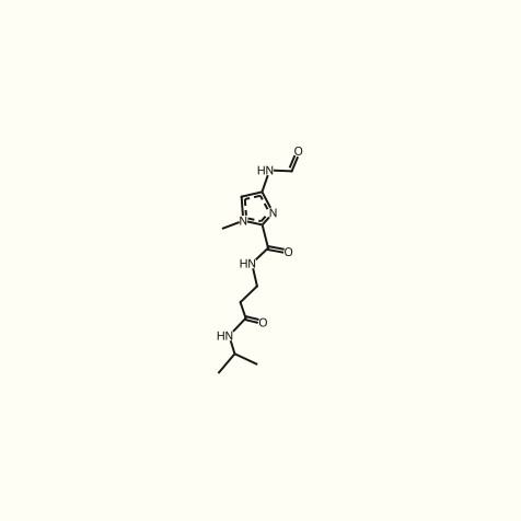 CC(C)NC(=O)CCNC(=O)c1nc(NC=O)cn1C